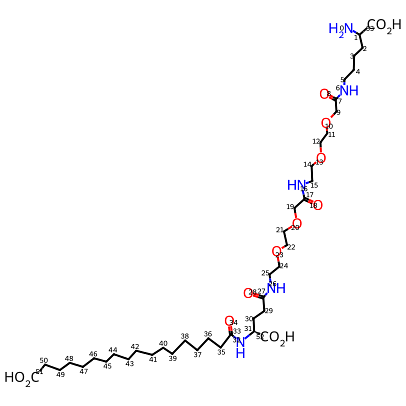 NC(CCCCNC(=O)COCCOCCNC(=O)COCCOCCNC(=O)CC[C@H](NC(=O)CCCCCCCCCCCCCCCCC(=O)O)C(=O)O)C(=O)O